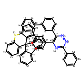 c1ccc(-c2nnc(-c3cccc(-c4ccccc4-c4cccc5c4C4(c6ccccc6Sc6ccccc64)c4ccccc4-5)c3)c(-c3ccccc3)n2)cc1